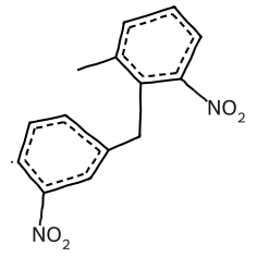 Cc1cccc([N+](=O)[O-])c1Cc1cc[c]c([N+](=O)[O-])c1